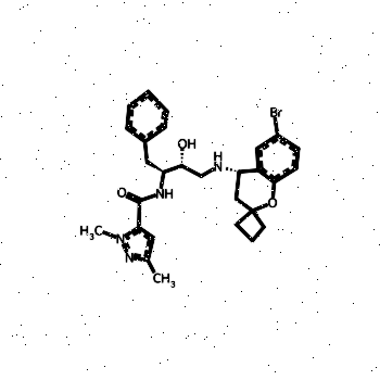 Cc1cc(C(=O)N[C@@H](Cc2ccccc2)[C@H](O)CN[C@H]2CC3(CCC3)Oc3ccc(Br)cc32)n(C)n1